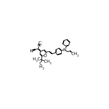 [C-]#[N+]/C(C#N)=C1C=C(/C=C/c2ccc(N(CC=C)c3ccccc3)cc2)OC(C(C)(C)C)=C\1